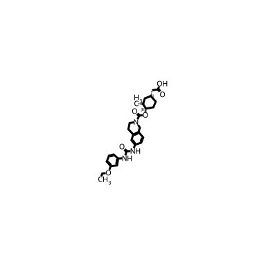 CCOc1cccc(NC(=O)Nc2ccc3c(c2)CCN(C(=O)O[C@@H]2CC[C@@H](CC(=O)O)C[C@H]2C)C3)c1